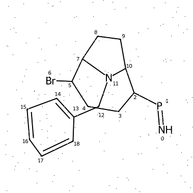 N=PC1CCC(Br)C2CCC1N2Cc1ccccc1